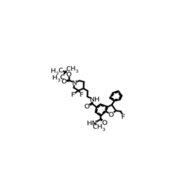 CNC(=O)c1cc(C(=O)NCCC2CCN(C(=O)OC(C)(C)C)CC2(F)F)cc2c1OC(CF)C2c1ccccc1